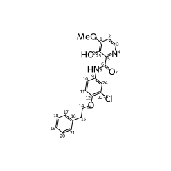 COc1ccnc(C(=O)Nc2ccc(OCCc3ccccc3)c(Cl)c2)c1O